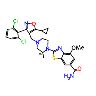 COc1cc(C(N)=O)cc2sc(N3CCN(Cc4c(-c5c(Cl)cccc5Cl)noc4C4CC4)C[C@@H]3C)nc12